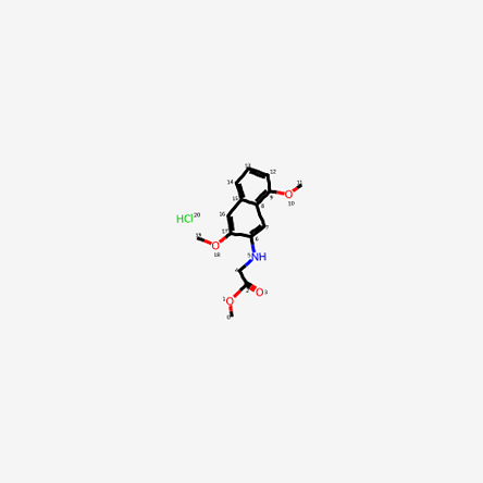 COC(=O)CNc1cc2c(OC)cccc2cc1OC.Cl